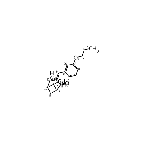 CCCOc1cccc(C=C2CC3CC(C2=O)C3(C)C)c1